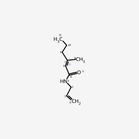 C=CCNC(=O)/C=C(\C)CCC